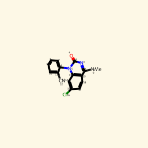 CNc1nc(=O)n(-c2ccccc2C#N)c2cc(Cl)ccc12